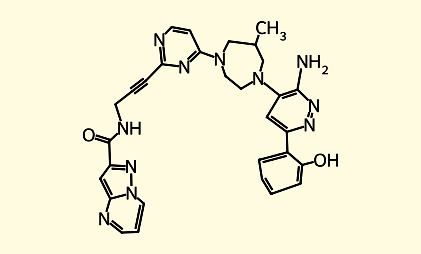 CC1CN(c2ccnc(C#CCNC(=O)c3cc4ncccn4n3)n2)CCN(c2cc(-c3ccccc3O)nnc2N)C1